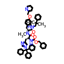 CN(C(=O)[C@H](Cc1cn(C(c2ccccc2)(c2ccccc2)c2ccccc2)cn1)NC(=O)OCc1ccccc1)[C@@H](Cc1ccc(OCc2ccccn2)cc1)C(=O)NCC(C)(C)c1ccccc1